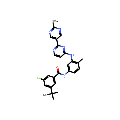 CNc1ncc(-c2nccc(Nc3cc(NC(=O)c4cc(F)cc(C(C)(C)C#N)c4)ccc3C)n2)cn1